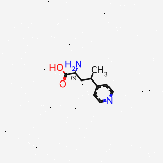 CC(C[C@H](N)C(=O)O)c1ccncc1